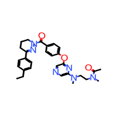 CCc1ccc(C2=NN(C(=O)c3ccc(Oc4cncc(N(C)CCN(C)C(C)=O)n4)cc3)CCC2)cc1